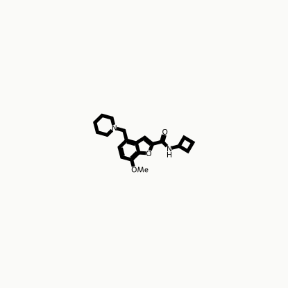 COc1ccc(CN2CCCCC2)c2cc(C(=O)NC3CCC3)oc12